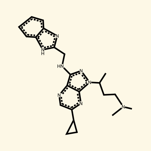 CC(CCN(C)C)n1nc(NCc2nc3ccccc3[nH]2)c2ncc(C3CC3)nc21